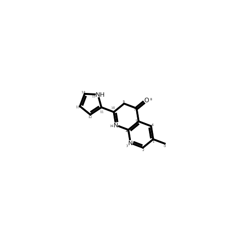 Cc1cnc2c(c1)C(=O)CC(c1ccc[nH]1)=N2